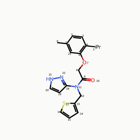 Cc1ccc(C(C)C)c(OCC(=O)N(Cc2cccs2)c2cc[nH]n2)c1